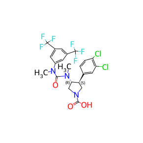 CN(C(=O)N(C)[C@H]1CN(C(=O)O)C[C@@H]1c1ccc(Cl)c(Cl)c1)c1cc(C(F)(F)F)cc(C(F)(F)F)c1